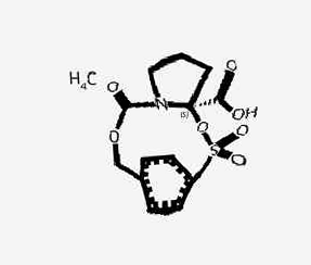 C.O=C1OCc2ccc(cc2)S(=O)(=O)O[C@]2(C(=O)O)CCCN12